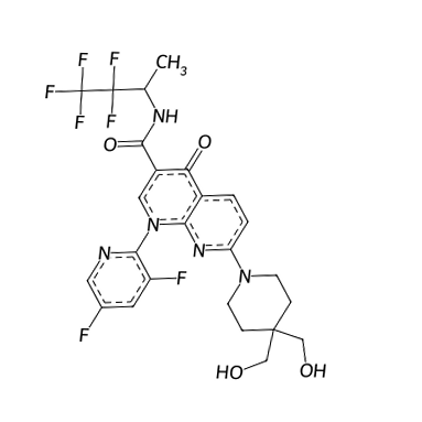 CC(NC(=O)c1cn(-c2ncc(F)cc2F)c2nc(N3CCC(CO)(CO)CC3)ccc2c1=O)C(F)(F)C(F)(F)F